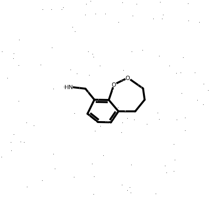 [NH]Cc1cccc2c1OOCCC2